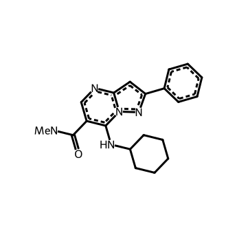 CNC(=O)c1cnc2cc(-c3ccccc3)nn2c1NC1CCCCC1